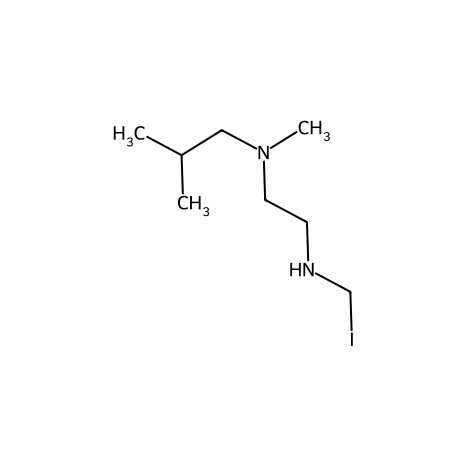 CC(C)CN(C)CCNCI